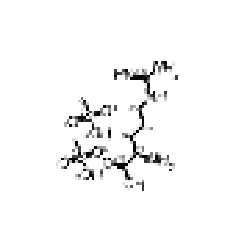 CS(=O)(=O)O.CS(=O)(=O)O.N=C(N)NCCCC(N)C(=O)O